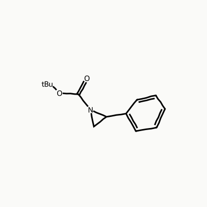 CC(C)(C)OC(=O)N1CC1c1ccccc1